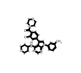 Cc1cccc(-n2cc(-c3ccc(C(=O)N4CCOCC4)c(Cl)c3)c3c(NC4CCOCC4)ncnc32)c1